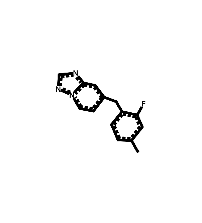 Cc1ccc(Cc2ccn3ncnc3c2)c(F)c1